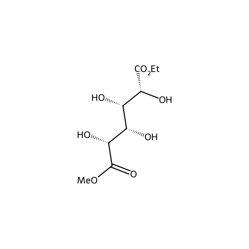 CCOC(=O)[C@H](O)[C@@H](O)[C@H](O)[C@@H](O)C(=O)OC